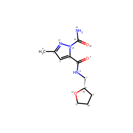 Cc1[c]c(C(=O)NC[C@@H]2CCCO2)n(C(N)=O)n1